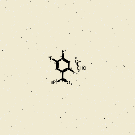 CCCC(=O)c1cc(F)c(F)cc1F.O=CO